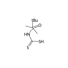 CC(C)(C)S(C)(C)(=O)NC(=S)S